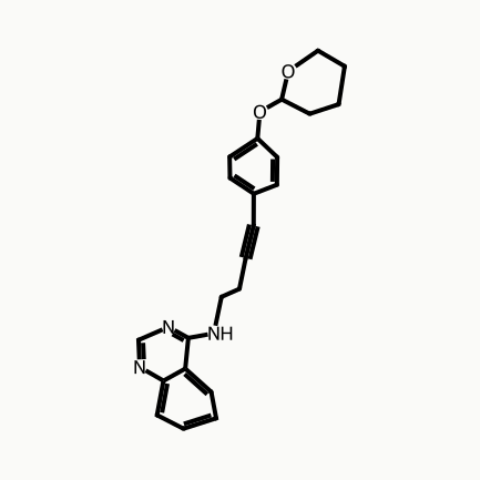 C(#Cc1ccc(OC2CCCCO2)cc1)CCNc1ncnc2ccccc12